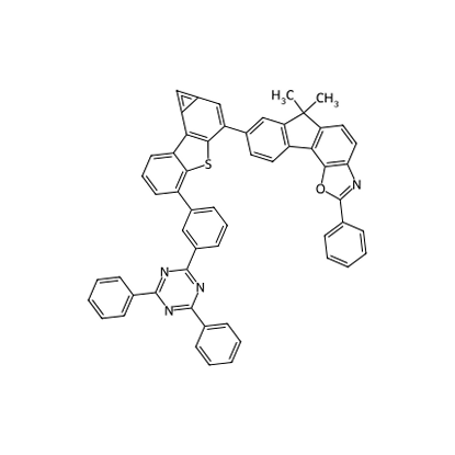 CC1(C)c2cc(-c3cc4c(c5c3sc3c(-c6cccc(-c7nc(-c8ccccc8)nc(-c8ccccc8)n7)c6)cccc35)=C=4)ccc2-c2c1ccc1nc(-c3ccccc3)oc21